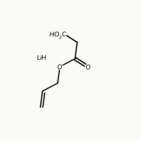 C=CCOC(=O)CC(=O)O.[LiH]